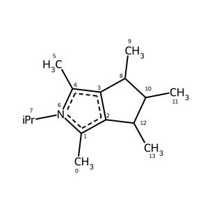 Cc1c2c(c(C)n1C(C)C)C(C)C(C)C2C